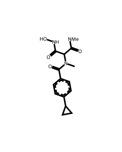 CNC(=O)C(C(=O)NO)N(C)C(=O)c1ccc(C2CC2)cc1